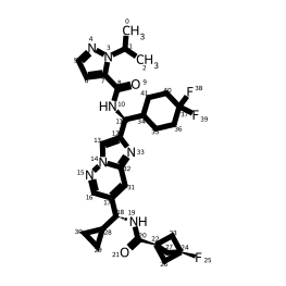 CC(C)n1nccc1C(=O)N[C@H](c1cn2ncc([C@H](NC(=O)[C@]34C[C@](F)(C3)C4)C3CC3)cc2n1)C1CCC(F)(F)CC1